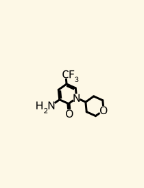 Nc1cc(C(F)(F)F)cn(C2CCOCC2)c1=O